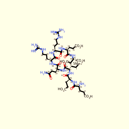 CSCC[C@H](NC(=O)[C@H](CCC(=O)O)NC(=O)[C@@H](N)CCC(=O)O)C(=O)N[C@@H](CCC(N)=O)C(=O)N[C@@H](CCCNC(=N)N)C(=O)N[C@@H](CCCNC(=N)N)C(=O)N[C@@H](CCC(=O)O)C(=O)N[C@@H](CC(=O)O)C(=O)O